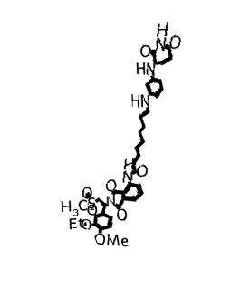 CCOc1cc(C(CS(C)(=O)=O)N2C(=O)c3cccc(NC(=O)CCCCCCCCNc4cccc(NC5CCC(=O)NC5=O)c4)c3C2=O)ccc1OC